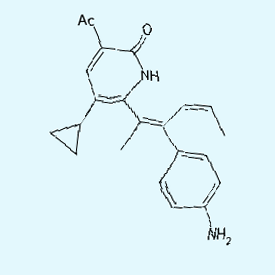 C/C=C\C(=C(\C)c1[nH]c(=O)c(C(C)=O)cc1C1CC1)c1ccc(N)cc1